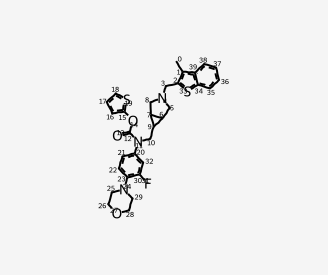 Cc1c(CN2CC3C(C2)C3CN(C(=O)Oc2cccs2)c2ccc(N3CCOCC3)c(F)c2)sc2ccccc12